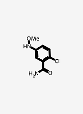 CONc1ccc(Cl)c(C(N)=O)c1